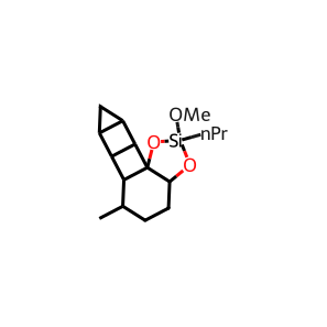 CCC[Si]1(OC)OC2CCC(C)C3C4C5CC5C4C23O1